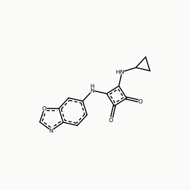 O=c1c(Nc2ccc3ncoc3c2)c(NC2CC2)c1=O